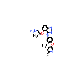 Cc1ccc(Oc2ccc(Nc3ncnc4cccc(O[C@H](C)CN)c34)cc2C)cn1